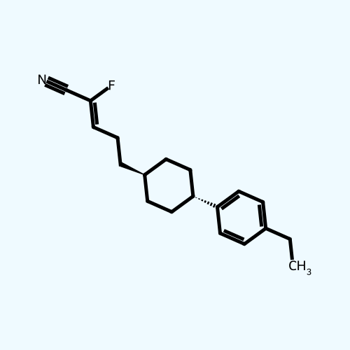 CCc1ccc([C@H]2CC[C@H](CC/C=C(\F)C#N)CC2)cc1